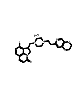 Cl.O=c1ccc2ccc(F)c3c2n1CC3CN1CCN(CCc2cc3c(cn2)OCCO3)CC1